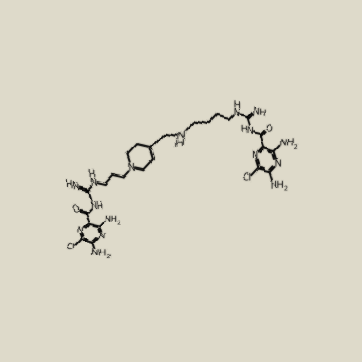 N=C(NCCCCNCC1CCN(CCCNC(=N)NC(=O)c2nc(Cl)c(N)nc2N)CC1)NC(=O)c1nc(Cl)c(N)nc1N